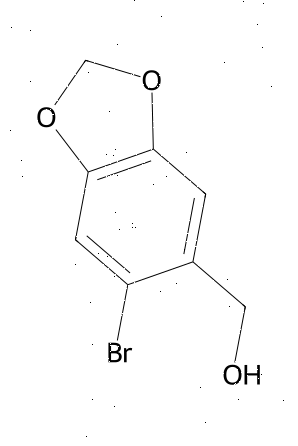 OCc1cc2c(cc1Br)OCO2